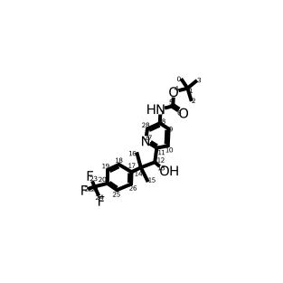 CC(C)(C)OC(=O)Nc1ccc(C(O)C(C)(C)c2ccc(C(F)(F)F)cc2)nc1